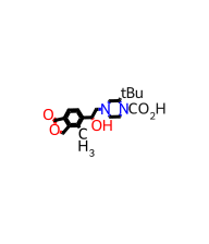 Cc1c(C(O)CN2CCN(C(=O)O)C(C(C)(C)C)C2)ccc2c1COC2=O